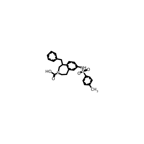 Cc1ccc(S(=O)(=O)Nc2ccc3c(c2)CCN(C(=O)O)CC3Cc2ccccc2)cc1